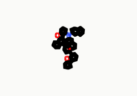 c1ccc2cc(N(c3ccc4ccccc4c3)c3cccc4oc5c6ccccc6c(-c6ccc(-c7cccc8c7oc7ccccc78)cc6)cc5c34)ccc2c1